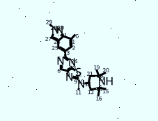 Cc1cc(-c2ncc3nc(N(C)C4CC(C)(C)NC(C)(C)C4)sc3n2)cc2cn(C)nc12